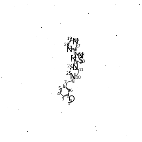 COc1cccc(CCN2CCN(c3nc(-c4cnccn4)ns3)CC2)c1